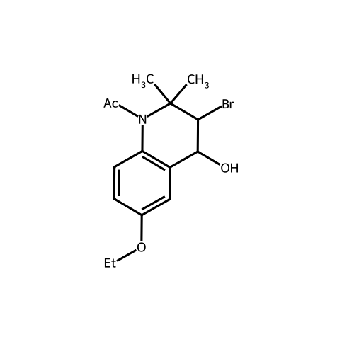 CCOc1ccc2c(c1)C(O)C(Br)C(C)(C)N2C(C)=O